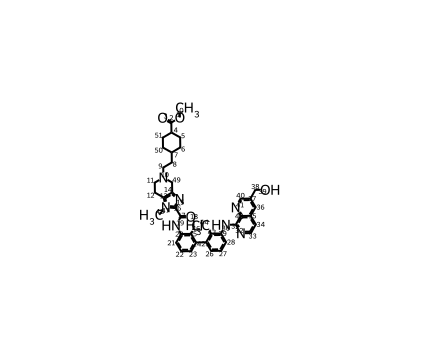 COC(=O)C1CCC(CCN2CCc3c(nc(C(=O)Nc4cccc(-c5cccc(Nc6nccc7cc(CO)cnc67)c5C)c4Cl)n3C)C2)CC1